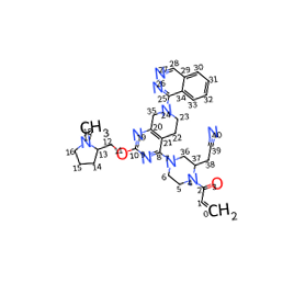 C=CC(=O)N1CCN(c2nc(OCC3CCCN3C)nc3c2CCN(c2nncc4ccccc24)C3)CC1CC#N